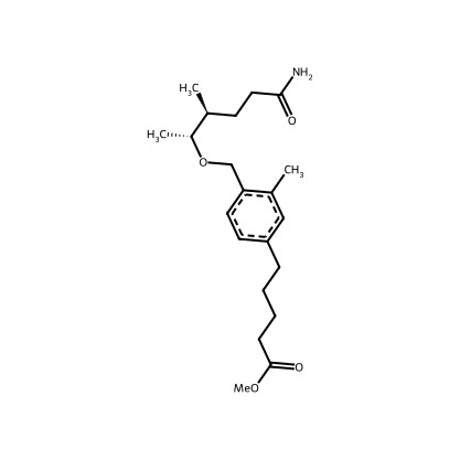 COC(=O)CCCCc1ccc(CO[C@H](C)[C@@H](C)CCC(N)=O)c(C)c1